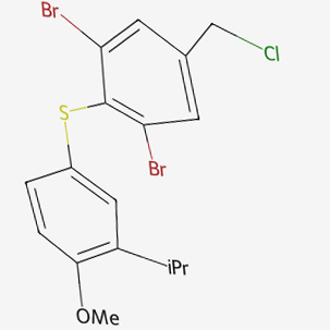 COc1ccc(Sc2c(Br)cc(CCl)cc2Br)cc1C(C)C